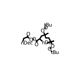 CCCCCCCCCCCC(=O)OOC(=O)C(CCCCCCCCCC)CC(C)(CCC(C)(C)OOC(C)(C)C)OOC(C)(C)C